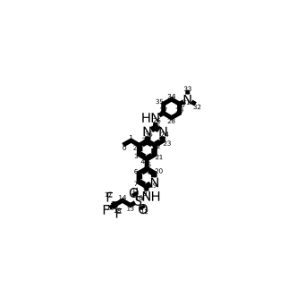 CCc1cc(-c2ccc(NS(=O)(=O)CCC(F)(F)F)nc2)cc2cnc(NC3CCC(N(C)C)CC3)nc12